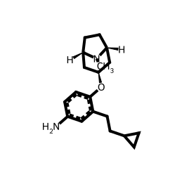 CN1[C@@H]2CC[C@H]1C[C@H](Oc1ccc(N)cc1CCC1CC1)C2